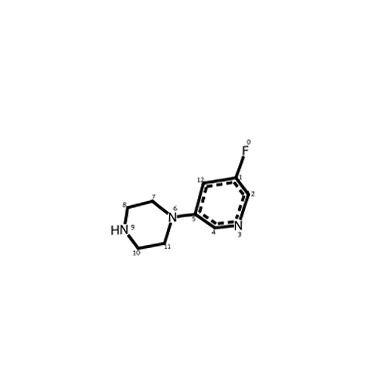 Fc1[c]ncc(N2CCNCC2)c1